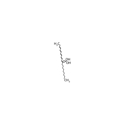 C=CC=CC=CC=CC=CC=CCCCCCCCCCC.O=C(O)O